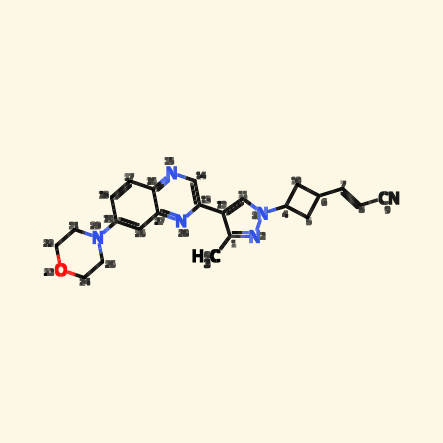 Cc1nn(C2CC(/C=C/C#N)C2)cc1-c1cnc2ccc(N3CCOCC3)cc2n1